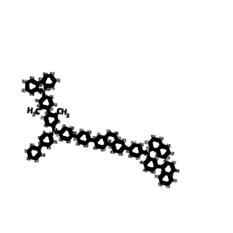 Cc1cc(N(c2ccc(-c3ccccc3)cc2)c2ccc(-c3ccc(-c4ccc5c(ccc6cc(-c7ccc(N(c8cccc(-c9cccc%10ccccc9%10)c8)c8cccc9ccccc89)cc7)ccc65)c4)cc3)cc2)ccc1-c1ccc(-n2c3ccccc3c3ccccc32)cc1C